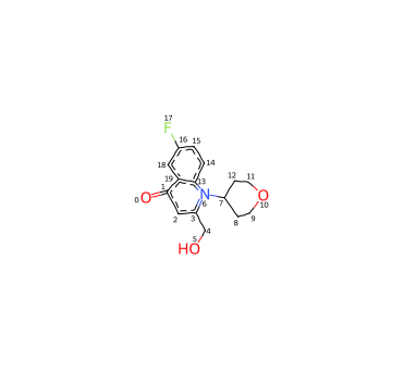 O=c1cc(CO)n(C2CCOCC2)c2ccc(F)cc12